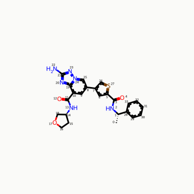 C[C@H](NC(=O)c1cc(-c2cc(C(=O)N[C@H]3CCOC3)c3nc(N)nn3c2)cs1)c1ccccc1